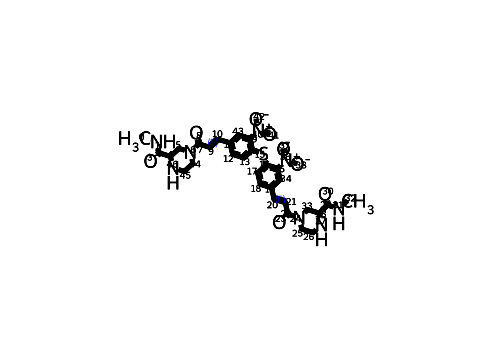 CNC(=O)C1CN(C(=O)/C=C/c2ccc(Sc3ccc(/C=C/C(=O)N4CCNC(C(=O)NC)C4)cc3[N+](=O)[O-])c([N+](=O)[O-])c2)CCN1